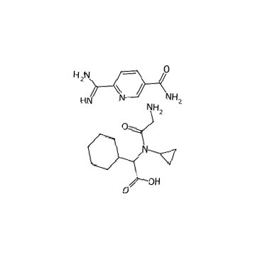 N=C(N)c1ccc(C(N)=O)cn1.NCC(=O)N(C1CC1)C(C(=O)O)C1CCCCC1